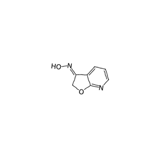 ON=C1COc2ncccc21